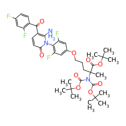 CC(C)(C)OC(=O)N(C(=O)OC(C)(C)C)C(C)(CCCOc1cc(F)c(-n2c(N)c(C(=O)c3ccc(F)cc3F)ccc2=O)c(F)c1)C(=O)OC(C)(C)C